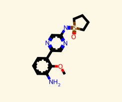 COc1c(N)cccc1-c1cnc(N=S2(=O)CCCC2)cn1